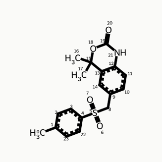 Cc1ccc(S(=O)(=O)Cc2ccc3c(c2)C(C)(C)OC(=O)N3)cc1